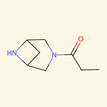 CCC(=O)N1CC2CC(C1)N2